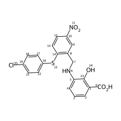 O=C(O)c1cccc(NCc2cc([N+](=O)[O-])ccc2Sc2ccc(Cl)cc2)c1O